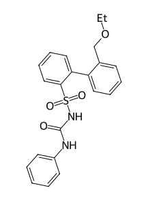 CCOCc1ccccc1-c1ccccc1S(=O)(=O)NC(=O)Nc1ccccc1